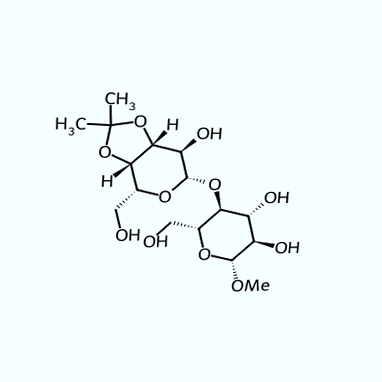 CO[C@@H]1O[C@H](CO)[C@@H](O[C@@H]2O[C@H](CO)[C@@H]3OC(C)(C)O[C@@H]3[C@H]2O)[C@H](O)[C@H]1O